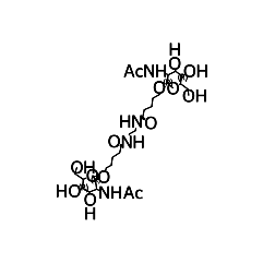 CC(=O)NC1C(O)[C@@H](O)C(CO)O[C@H]1OCCCCC(=O)NCCNC(=O)CCCCO[C@@H]1OC(CO)[C@H](O)C(O)C1NC(C)=O